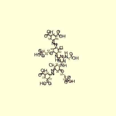 O=C(O)CNc1nc(Nc2cc(Cl)c(N=Nc3cc(C(=O)O)cc(C(=O)O)c3)cc2OCCCS(=O)(=O)O)nc(Nc2cc(Cl)c(N=Nc3cc(C(=O)O)cc(C(=O)O)c3)cc2OCCCS(=O)(=O)O)n1